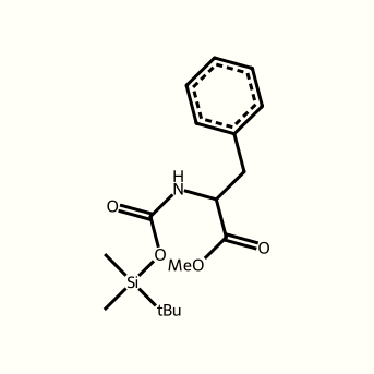 COC(=O)C(Cc1ccccc1)NC(=O)O[Si](C)(C)C(C)(C)C